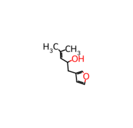 CC(C)=CC(O)Cc1ccoc1